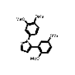 COc1ccc(OC)c(-c2ccnn2-c2ccc(OC)c(OC)c2)c1